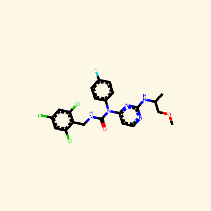 COCC(C)Nc1nccc(N(C(=O)NCc2c(Cl)cc(Cl)cc2Cl)c2ccc(F)cc2)n1